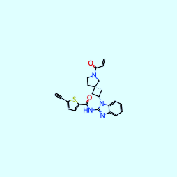 C#Cc1ccc(C(=O)Nc2nc3ccccc3n2[C@H]2C[C@@]3(CCN(C(=O)C=C)C3)C2)s1